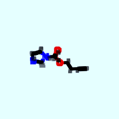 C#CCCOC(=O)n1ccnc1